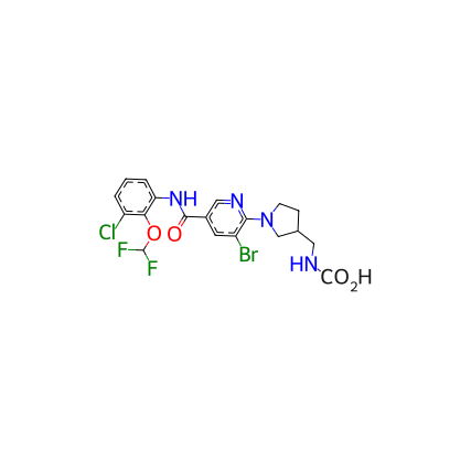 O=C(O)NCC1CCN(c2ncc(C(=O)Nc3cccc(Cl)c3OC(F)F)cc2Br)C1